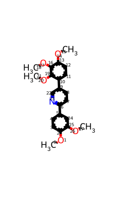 COc1ccc(-c2ccc(-c3ccc(OC)c(OC)c3OC)cn2)cc1OC